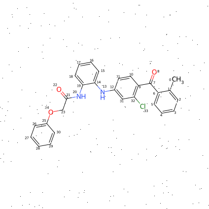 Cc1ccccc1C(=O)c1ccc(Nc2ccccc2NC(=O)COc2ccccc2)cc1Cl